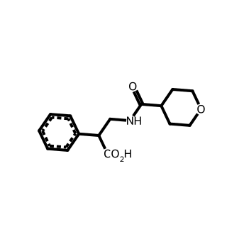 O=C(NCC(C(=O)O)c1ccccc1)C1CCOCC1